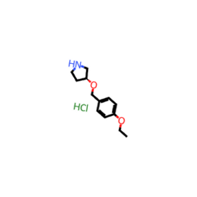 CCOc1ccc(CO[C@H]2CCNC2)cc1.Cl